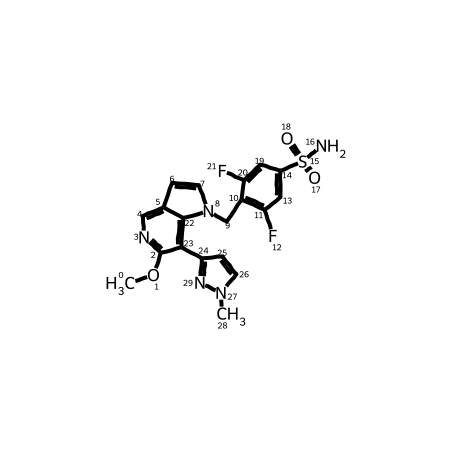 COc1ncc2ccn(Cc3c(F)cc(S(N)(=O)=O)cc3F)c2c1-c1ccn(C)n1